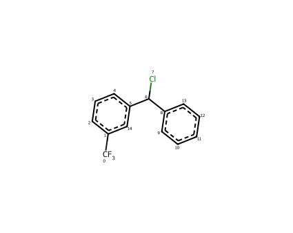 FC(F)(F)c1cccc(C(Cl)c2ccccc2)c1